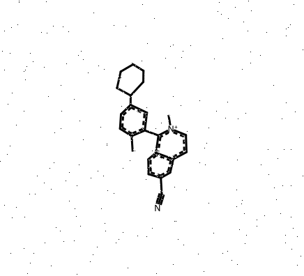 Cc1ccc(C2CCCCC2)cc1-c1c2ccc(C#N)cc2cc[n+]1C